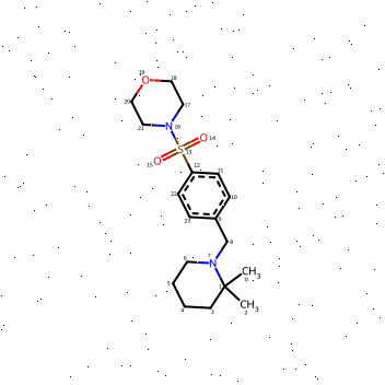 CC1(C)CCCCN1Cc1ccc(S(=O)(=O)N2CCOCC2)cc1